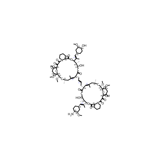 CO[C@H]1C[C@@H](C)C/C(C)=C/[C@@H](C/C=C/C[C@@H]2/C=C(\C)C[C@H](C)C[C@H](OC)[C@H]3O[C@@](O)(C(=O)C(=O)N4CCCC[C@H]4C(=O)O[C@H](/C(C)=C/[C@@H]4CC[C@@H](N)[C@H](OC)C4)[C@H](C)[C@@H](O)CC2=O)[C@H](C)C[C@@H]3OC)C(=O)C[C@H](O)[C@@H](C)C(/C(C)=C/[C@@H]2CC[C@@H](O)[C@H](OC)C2)OC(=O)[C@@H]2CCCCN2C(=O)C(=O)[C@]2(O)O[C@H]1[C@@H](OC)C[C@H]2C